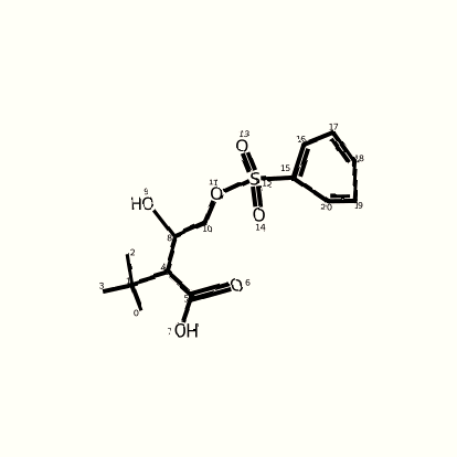 CC(C)(C)C(C(=O)O)C(O)COS(=O)(=O)c1ccccc1